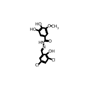 COc1cc(C(=O)N/N=C/c2cc(Cl)cc(Cl)c2O)cc(O)c1O